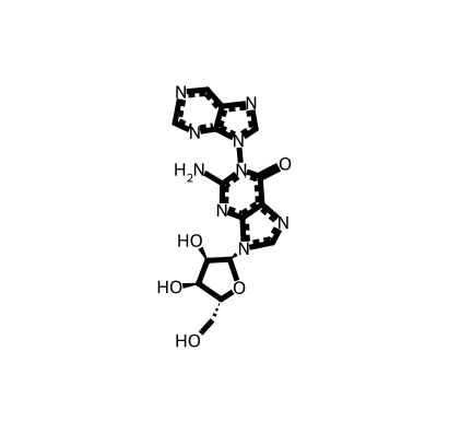 Nc1nc2c(ncn2[C@@H]2O[C@H](CO)[C@@H](O)[C@H]2O)c(=O)n1-n1cnc2cncnc21